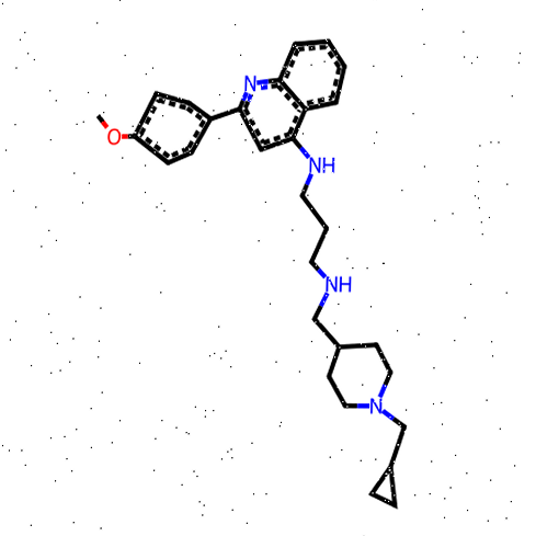 COc1ccc(-c2cc(NCCCNCC3CCN(CC4CC4)CC3)c3ccccc3n2)cc1